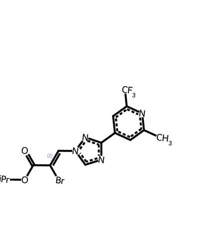 Cc1cc(-c2ncn(/C=C(\Br)C(=O)OC(C)C)n2)cc(C(F)(F)F)n1